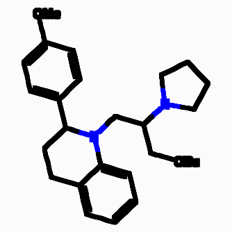 COc1ccc(C2CCc3ccccc3N2CC(COCC(C)C)N2CCCC2)cc1